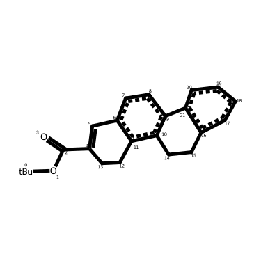 CC(C)(C)OC(=O)C1=Cc2ccc3c(c2CC1)CCc1ccccc1-3